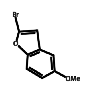 COc1ccc2oc(Br)cc2c1